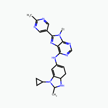 CCn1c(-c2cnc(C)nc2)nc2c(NC3=CCC4NC(C)N(C5CC5)C4=C3)ncnc21